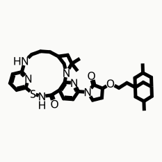 CC1CC2CC(C)CC(CCOC3CCN(c4ccc5c(n4)N4CC(CCCNc6cccc(n6)SNC5=O)CC4(C)C)C3=O)(C1)C2